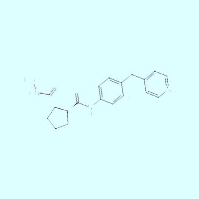 O=C(NO)[C@H]1CCC[C@@H]1C(=O)Nc1ccc(Cc2ccncc2)cc1